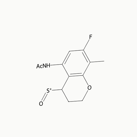 CC(=O)Nc1cc(F)c(C)c2c1C([S+]=O)CCO2